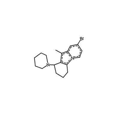 Cc1c2c(n3ccc(Br)cc13)CCCC2N1CCCCC1